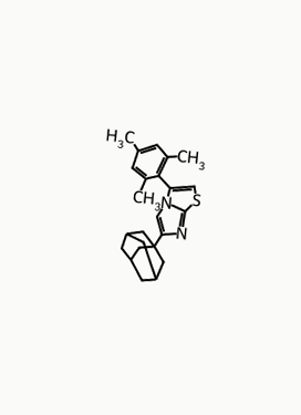 Cc1cc(C)c(-c2csc3nc(C45CC6CC(CC(C6)C4)C5)cn23)c(C)c1